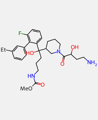 CCc1cccc(-c2c(F)cccc2C(O)(CCCNC(=O)OC)C2CCCN(C(=O)C(O)CCN)C2)c1